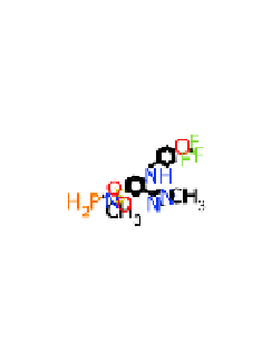 CN(CP)S(=O)(=O)c1ccc(NCc2ccc(OC(F)(F)F)cc2)c(-c2cn(C)cn2)c1